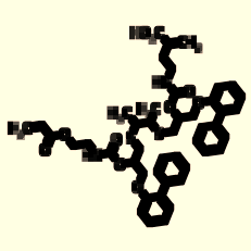 C=CC(=O)OCCNC(=O)OC(COc1ccccc1-c1ccccc1)CSC(C)C(C)SCC(COc1ccccc1-c1ccccc1)OC(=O)NCCC(=C)C(=O)O